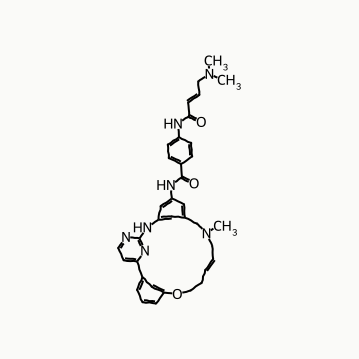 CN(C)C/C=C/C(=O)Nc1ccc(C(=O)Nc2cc3cc(c2)Nc2nccc(n2)-c2cccc(c2)OCC/C=C/CN(C)C3)cc1